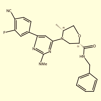 CNc1nc(-c2ccc(C#N)c(F)c2)cc(N2C[C@@H](C(=O)NCc3ccccc3)OC[C@H]2C)n1